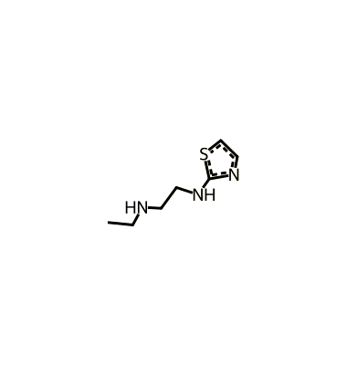 CCNCCNc1nccs1